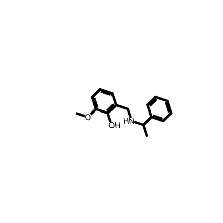 COc1cccc(CNC(C)c2ccccc2)c1O